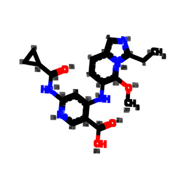 CCc1ncc2ccc(Nc3cc(NC(=O)C4CC4)ncc3C(=O)O)c(OC)n12